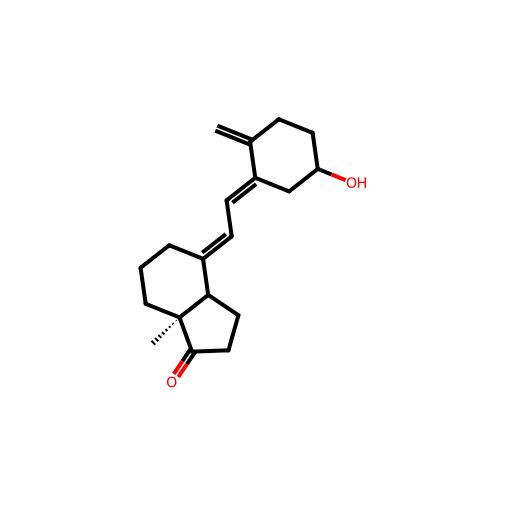 C=C1CCC(O)CC1=CC=C1CCC[C@]2(C)C(=O)CCC12